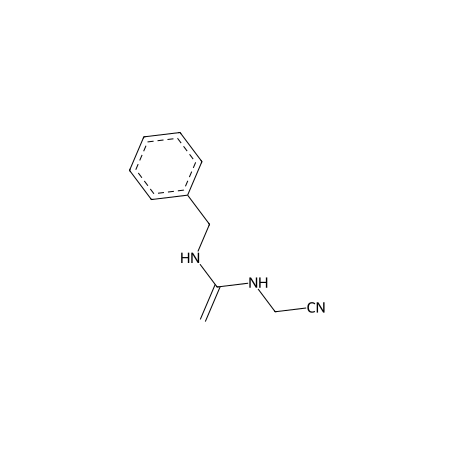 C=C(NCC#N)NCc1ccccc1